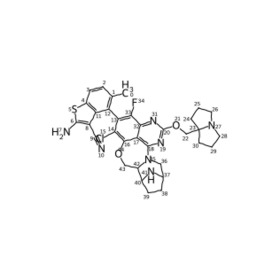 Cc1ccc2sc(N)c(C#N)c2c1-c1c(Cl)c2c3c(nc(OCC45CCCN4CCC5)nc3c1F)N1CC3CCC(N3)C1CO2